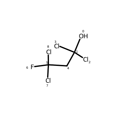 OC(Cl)(Cl)CC(F)(Cl)Cl